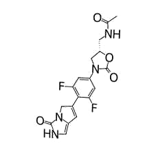 CC(=O)NC[C@H]1CN(c2cc(F)c(C3=Cc4c[nH]c(=O)n4C3)c(F)c2)C(=O)O1